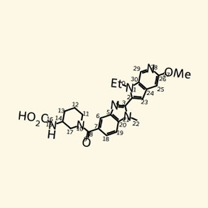 CCn1c(-c2nc3cc(C(=O)N4CCCC(NC(=O)O)C4)ccc3n2C)cc2cc(OC)ncc21